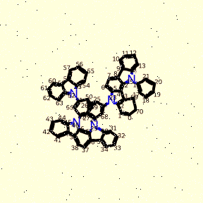 C1=Cc2c(c3c(ccc4c5ccccc5n(-c5ccccc5)c43)n2-c2cccc(-n3c4ccccc4c4ccc5c6ccccc6n(-c6cccc(-n7c8ccccc8c8ccccc87)c6)c5c43)c2)CC1